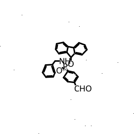 O=Cc1ccc([P@@](=O)(NCc2ccccc2)OC2c3ccccc3-c3ccccc32)cc1